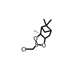 CC1(C)C2CC3OB(CCl)O[C@@]3(C)C1C2